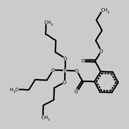 CCCCOC(=O)c1ccccc1C(=O)[O][Ti]([O]CCCC)([O]CCCC)[O]CCCC